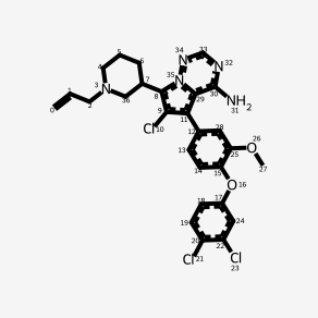 C=CCN1CCCC(c2c(Cl)c(-c3ccc(Oc4ccc(Cl)c(Cl)c4)c(OC)c3)c3c(N)ncnn23)C1